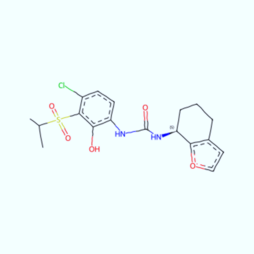 CC(C)S(=O)(=O)c1c(Cl)ccc(NC(=O)N[C@H]2CCCc3ccoc32)c1O